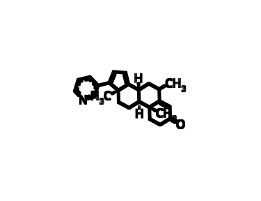 CC1C[C@H]2C3=CC=C(c4cccnc4)[C@@]3(C)CC[C@@H]2[C@@]2(C)CCC(=O)C=C12